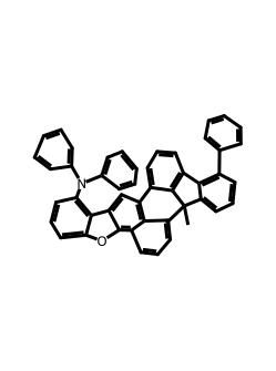 CC1(C)c2cccc(-c3ccccc3)c2-c2cccc(-c3cc4c(oc5cccc(N(c6ccccc6)c6ccccc6)c54)c4ccccc34)c21